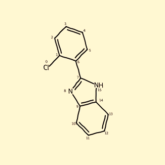 Clc1ccccc1-c1nc2[c]cccc2[nH]1